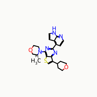 C[C@@H]1COCCN1c1nc(-c2ccnc3[nH]ccc23)nc2c(C3CCOCC3)csc12